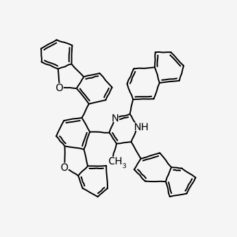 CC1=C(c2c(-c3cccc4c3oc3ccccc34)ccc3oc4ccccc4c23)N=C(c2ccc3ccccc3c2)NC1c1ccc2ccccc2c1